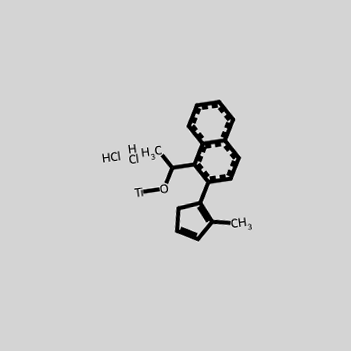 CC1=C(c2ccc3ccccc3c2C(C)[O][Ti])CC=C1.Cl.Cl